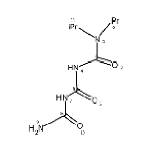 CC(C)N(C(=O)NC(=O)NC(N)=O)C(C)C